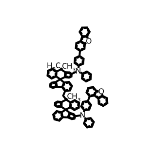 CC1(C)c2ccccc2C2(c3ccccc3-c3c(CC4(C)c5ccccc5C5(c6ccccc6-c6ccc(N(c7ccccc7)c7ccc(-c8cccc9oc%10ccccc%10c89)cc7)cc65)c5ccccc54)cccc32)c2ccc(N(c3ccccc3)c3ccc(-c4ccc5c(c4)oc4ccccc45)cc3)cc21